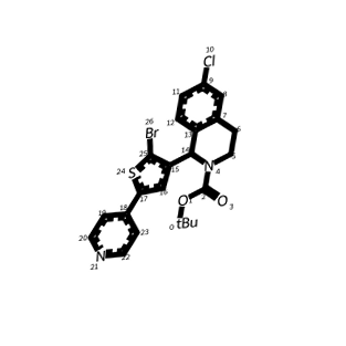 CC(C)(C)OC(=O)N1CCc2cc(Cl)ccc2C1c1cc(-c2ccncc2)sc1Br